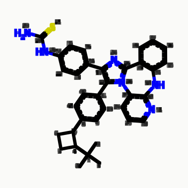 CC(C)(C)C1CC[C]1c1ccc(-c2c(-c3ccc(NC(N)=S)cc3)nc3n2-c2cccnc2Nc2ccccc2-3)cc1